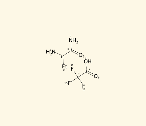 CCC(N)C(N)=O.O=C(O)C(F)(F)F